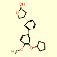 COc1ccc(-c2cccc([C@@H]3COB(O)C3)c2)cc1OC1CCCC1